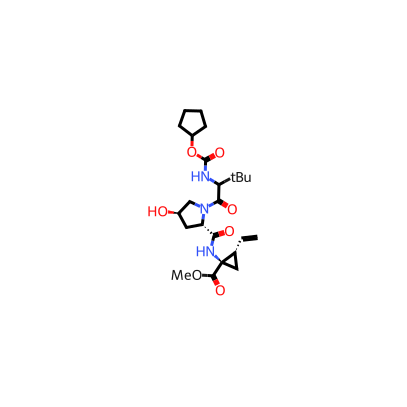 C=C[C@@H]1C[C@]1(NC(=O)[C@@H]1C[C@@H](O)CN1C(=O)C(NC(=O)OC1CCCC1)C(C)(C)C)C(=O)OC